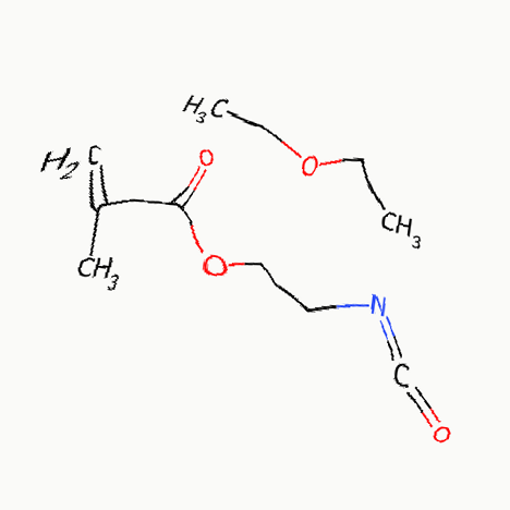 C=C(C)C(=O)OCCN=C=O.CCOCC